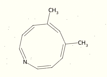 Cc1cccncccc(C)c1